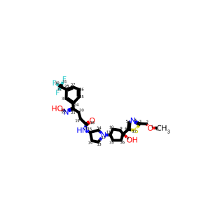 COCc1ncc(C2(O)CCC(N3CCC(NC(=O)CCC(=NO)c4cccc(C(F)(F)F)c4)C3)CC2)s1